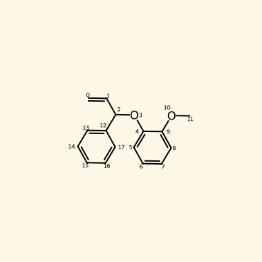 C=CC(Oc1ccccc1OC)c1ccccc1